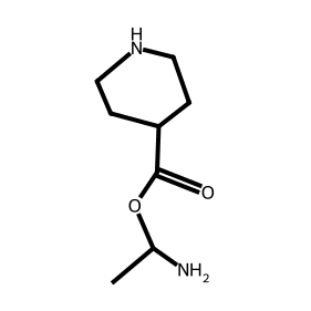 CC(N)OC(=O)C1CCNCC1